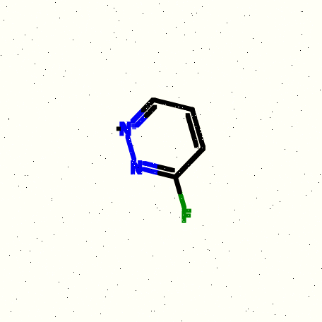 FC1=N[N+]=CC=C1